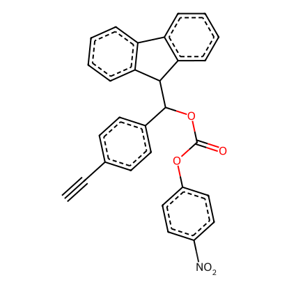 C#Cc1ccc(C(OC(=O)Oc2ccc([N+](=O)[O-])cc2)C2c3ccccc3-c3ccccc32)cc1